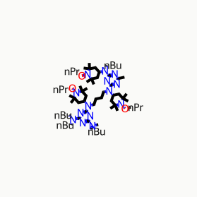 CCCCN(C)c1nc(N(CCCC)CCCC)nc(N(CCCCN(c2nc(C)nc(N(CCCC)C3CC(C)(C)N(OCCC)C(C)(C)C3)n2)C2CC(C)(C)N(OCCC)C(C)(C)C2)C2CC(C)(C)N(OCCC)C(C)(C)C2)n1